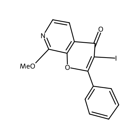 COc1nccc2c(=O)c(I)c(-c3ccccc3)oc12